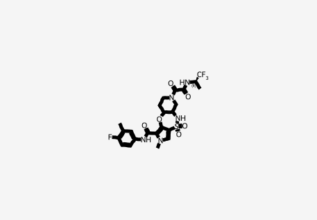 Cc1cc(NC(=O)c2c3c(cn2C)S(=O)(=O)NC2CN(C(=O)C(=O)N[C@H](C)C(F)(F)F)CCC2O3)ccc1F